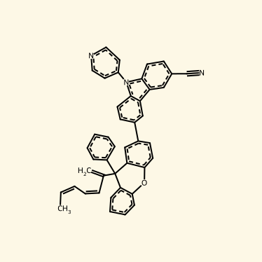 C=C(/C=C\C=C/C)C1(c2ccccc2)c2ccccc2Oc2ccc(-c3ccc4c(c3)c3cc(C#N)ccc3n4-c3ccncc3)cc21